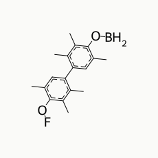 BOc1c(C)cc(-c2cc(C)c(OF)c(C)c2C)c(C)c1C